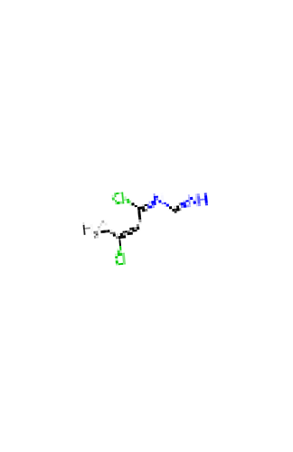 C/C(Cl)=C\C(Cl)=N/C=N